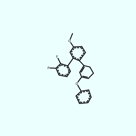 COc1ccc(C2=CC(Oc3ccccc3)=CC[CH]2)c(-c2cccc(F)c2F)c1